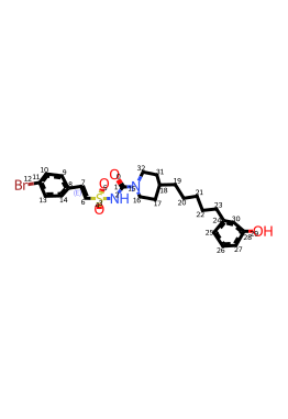 O=C(NS(=O)(=O)/C=C/c1ccc(Br)cc1)N1CCC(CCCCCc2cccc(O)c2)CC1